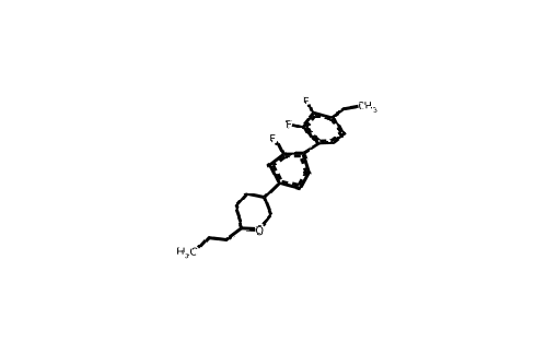 CCCC1CCC(c2ccc(-c3ccc(CC)c(F)c3F)c(F)c2)CO1